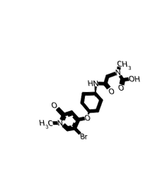 CN(CC(=O)N[C@H]1CC[C@H](Oc2cc(=O)n(C)cc2Br)CC1)C(=O)O